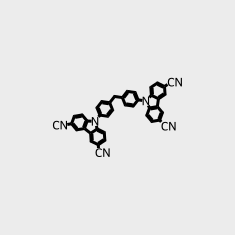 [C-]#[N+]c1ccc2c(c1)c1cc(C#N)ccc1n2-c1ccc(Cc2ccc(-n3c4ccc(C#N)cc4c4cc(C#N)ccc43)cc2)cc1